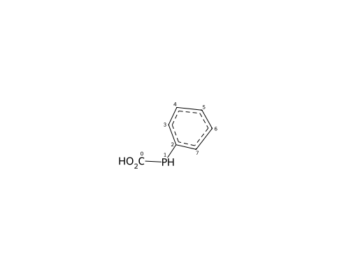 O=C(O)Pc1ccccc1